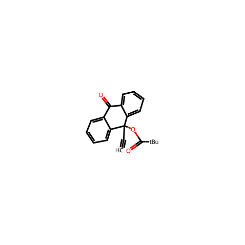 C#CC1(OC(=O)C(C)(C)C)c2ccccc2C(=O)c2ccccc21